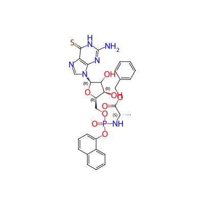 C[C@H](NP(=O)(OC[C@H]1O[C@@H](n2cnc3c(=S)[nH]c(N)nc32)C(O)[C@H]1O)Oc1cccc2ccccc12)C(=O)OCc1ccccc1